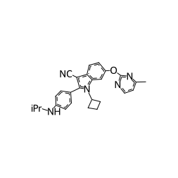 Cc1ccnc(Oc2ccc3c(C#N)c(-c4ccc(NC(C)C)cc4)n(C4CCC4)c3c2)n1